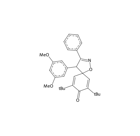 COc1cc(OC)cc(C2C(c3ccccc3)=NOC23C=C(C(C)(C)C)C(=O)C(C(C)(C)C)=C3)c1